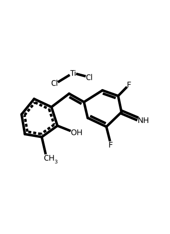 Cc1cccc(C=C2C=C(F)C(=N)C(F)=C2)c1O.[Cl][Ti][Cl]